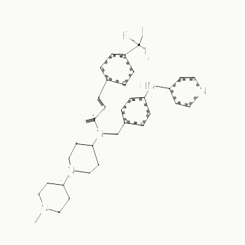 CN1CCC(N2CCC(N(Cc3ccc(Nc4ccncc4)cc3)C(=O)/C=C/c3ccc(C(F)(F)F)cc3)CC2)CC1